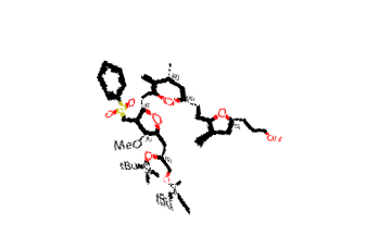 C=C1C[C@H](CCCO)OC1CC[C@H]1C[C@@H](C)C(=C)C(C[C@@H]2OC(C[C@@H](CO[Si](C)(C)C(C)(C)C)O[Si](C)(C)C(C)(C)C)[C@H](OC)C2CS(=O)(=O)c2ccccc2)O1